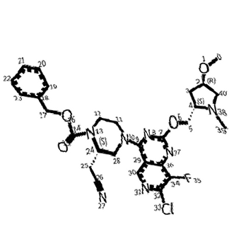 CO[C@@H]1C[C@@H](COc2nc(N3CCN(C(=O)OCc4ccccc4)[C@@H](CC#N)C3)c3cnc(Cl)c(F)c3n2)N(C)C1